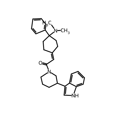 CN(C)C1(c2ccccc2)CCC(=CC(=O)N2CCCC(c3c[nH]c4ccccc34)C2)CC1